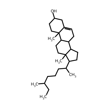 CCC(C)CCCC(C)C1CCC2C3CC=C4CC(O)CCC4(C)C3CCC12C